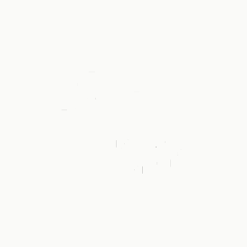 CC(C)=C(CCCCC(C)(OCl)C(C)C)C(C)C